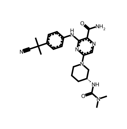 CN(C)C(=O)N[C@@H]1CCCN(c2cnc(C(N)=O)c(Nc3ccc(C(C)(C)C#N)cc3)n2)C1